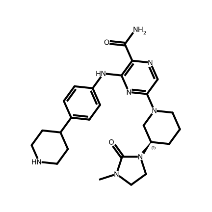 CN1CCN([C@@H]2CCCN(c3cnc(C(N)=O)c(Nc4ccc(C5CCNCC5)cc4)n3)C2)C1=O